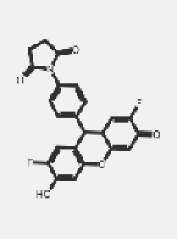 O=C1C=C2Oc3cc(O)c(F)cc3C(c3ccc(N4C(=O)CCC4=O)cc3)C2C=C1F